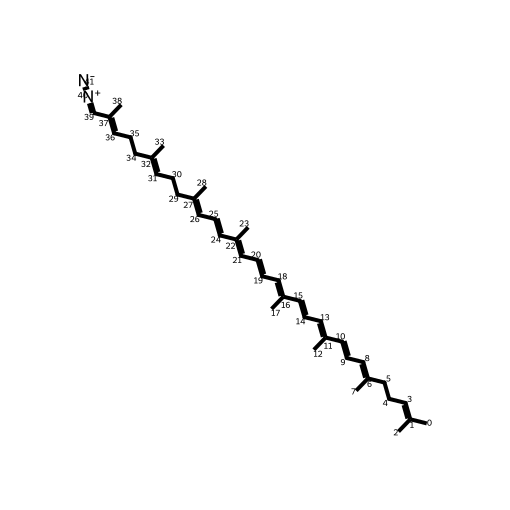 CC(C)=CCC/C(C)=C/C=C/C(C)=C/C=C/C(C)=C/C=C/C=C(C)/C=C/C=C(\C)CC/C=C(\C)CC/C=C(\C)C=[N+]=[N-]